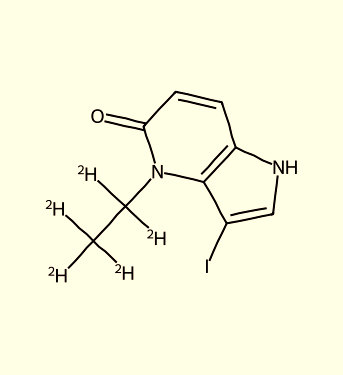 [2H]C([2H])([2H])C([2H])([2H])n1c(=O)ccc2[nH]cc(I)c21